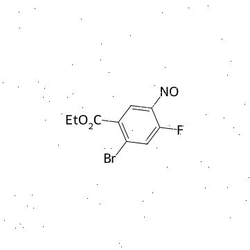 CCOC(=O)c1cc(N=O)c(F)cc1Br